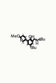 COc1ccc(-c2cc(C(C)(C)C)cc(CNC(C)(C)C)c2O)cn1